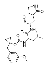 COc1cccc(CC2(OC(=O)NC(CC(C)C)C(=O)NC(C=O)CC3CCNC3=O)CC2)c1